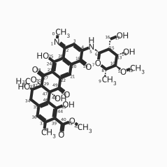 C/N=C1\C=C(N[C@H]2O[C@@H](C)[C@H](OC)[C@@H](O)[C@H]2CO)C(=O)c2cc3c(c(O)c21)C(=O)[C@]1(OC)[C@H](O)Cc2cc(C)c(C(=O)OC)c(O)c2[C@]1(O)C3=O